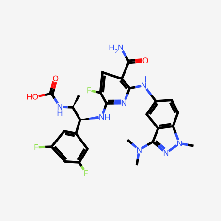 C[C@H](NC(=O)O)[C@@H](Nc1nc(Nc2ccc3c(c2)c(N(C)C)nn3C)c(C(N)=O)cc1F)c1cc(F)cc(F)c1